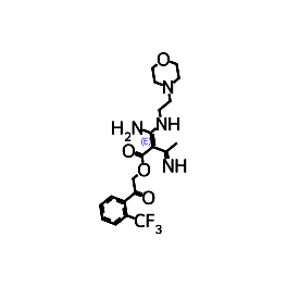 CC(=N)/C(C(=O)OCC(=O)c1ccccc1C(F)(F)F)=C(/N)NCCN1CCOCC1